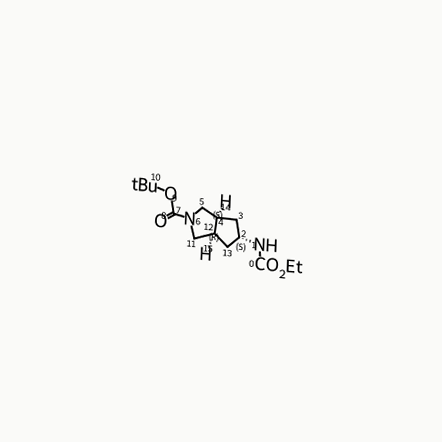 CCOC(=O)N[C@H]1C[C@@H]2CN(C(=O)OC(C)(C)C)C[C@@H]2C1